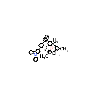 Cc1cc(C)c(B(c2ccc(C34CC5CC(C3)CC(c3ccc(-c6ccc7c(c6)c6ccccc6n7-c6ccccc6)cc3)(C5)C4)cc2)c2c(C)cc(C)cc2C)c(C)c1